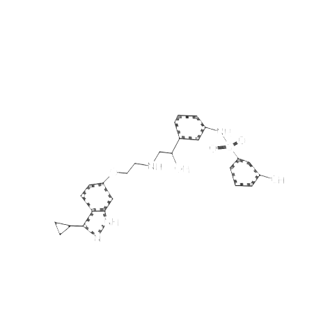 Cc1cccc(S(=O)(=O)Nc2cccc(C(O)CNCCOc3ccc4c(C5CC5)n[nH]c4c3)c2)c1